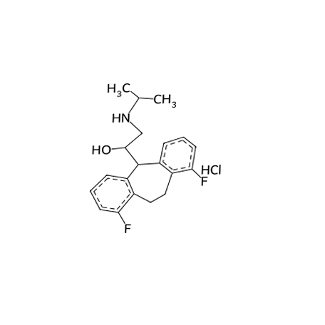 CC(C)NCC(O)C1c2cccc(F)c2CCc2c(F)cccc21.Cl